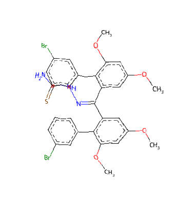 COc1cc(OC)c(-c2cccc(Br)c2)c(C(=NNC(N)=S)c2cc(OC)cc(OC)c2-c2cccc(Br)c2)c1